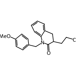 COc1ccc(CN2C(=O)C(CCCl)Cc3ccccc32)cc1